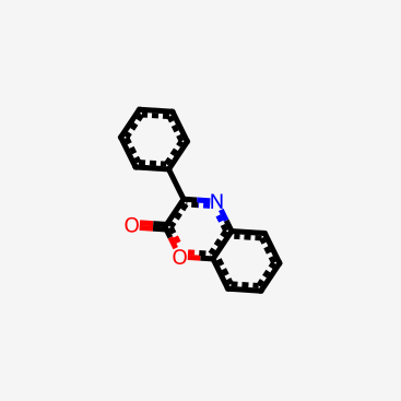 O=c1oc2ccccc2nc1-c1ccccc1